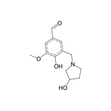 COc1cc(C=O)cc(CN2CCC(O)C2)c1O